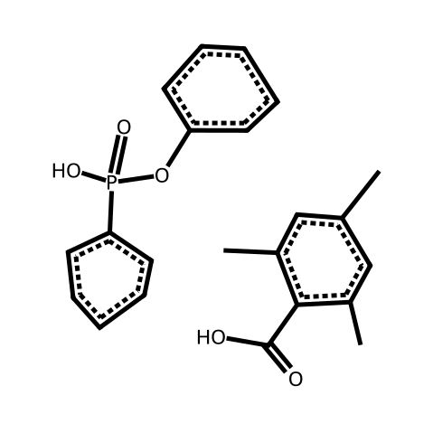 Cc1cc(C)c(C(=O)O)c(C)c1.O=P(O)(Oc1ccccc1)c1ccccc1